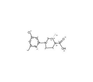 Cc1cc(Cl)cc(N2CCN(C(=O)O)[C@@H](C)C2)n1